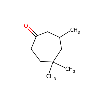 CC1CC(=O)CCC(C)(C)C1